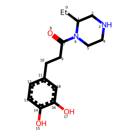 CCC1CNCCN1C(=O)CCc1ccc(O)c(O)c1